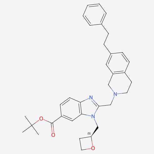 CC(C)(C)OC(=O)c1ccc2nc(CN3CCc4ccc(CCc5ccccc5)cc4C3)n(C[C@@H]3CCO3)c2c1